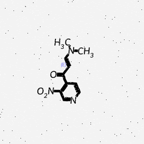 CN(C)/C=C/C(=O)c1ccncc1[N+](=O)[O-]